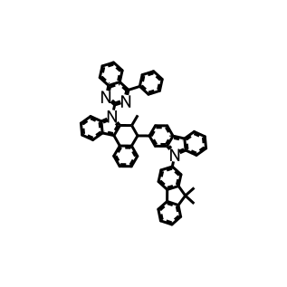 CC1c2c(c3ccccc3n2-c2nc(-c3ccccc3)c3ccccc3n2)-c2ccccc2C1c1ccc2c3ccccc3n(-c3ccc4c(c3)C(C)(C)c3ccccc3-4)c2c1